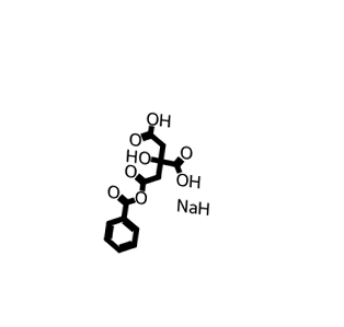 O=C(O)CC(O)(CC(=O)OC(=O)c1ccccc1)C(=O)O.[NaH]